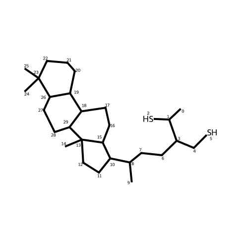 CC(S)C(CS)CCC(C)C1CCC2(C)C1CCC1C3CCCC(C)(C)C3CCC12